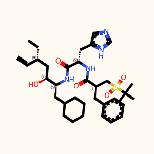 C=C[C@H](CC)C[C@H](O)[C@H](CC1CCCCC1)NC(=O)[C@H](Cc1cnc[nH]1)NC(=O)[C@H](Cc1ccccc1)CS(=O)(=O)C(C)(C)C